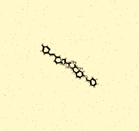 Cc1ccc(/C=C/c2ccc3nc(C(=O)NC(Cc4ccc(OCc5ccccc5)cc4)C(=O)O)cn3c2)cc1